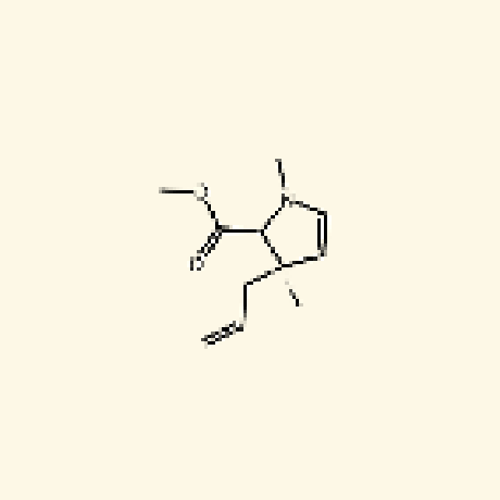 C=CC[C@]1(C)C=CN(C)[C@@H]1C(=O)OC